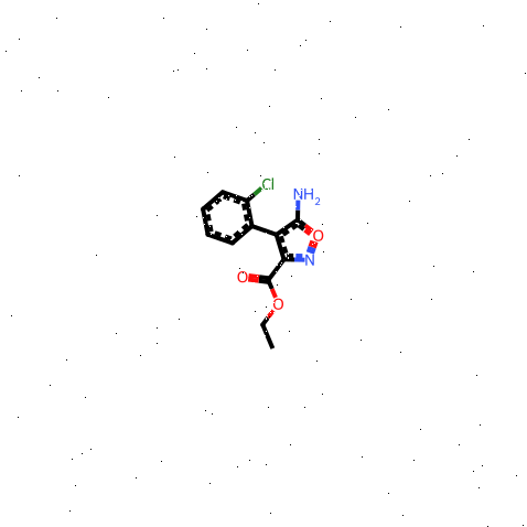 CCOC(=O)c1noc(N)c1-c1ccccc1Cl